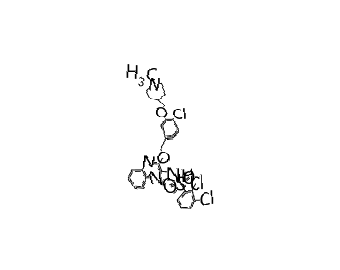 CN1CCC(COc2cc(COc3nc4ccccc4nc3NS(=O)(=O)c3cccc(Cl)c3Cl)ccc2Cl)CC1